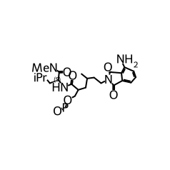 CNC(=O)[C@H](CC(C)C)NC(=O)C(COP=O)CC(C)CCN1C(=O)c2cccc(N)c2C1=O